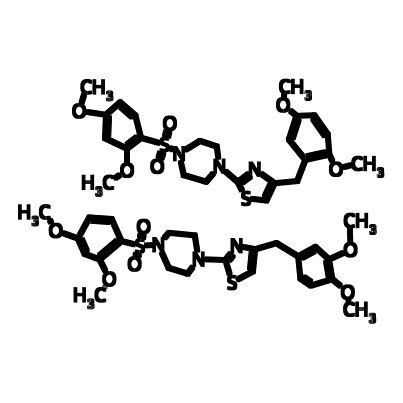 COc1ccc(OC)c(Cc2csc(N3CCN(S(=O)(=O)c4ccc(OC)cc4OC)CC3)n2)c1.COc1ccc(S(=O)(=O)N2CCN(c3nc(Cc4ccc(OC)c(OC)c4)cs3)CC2)c(OC)c1